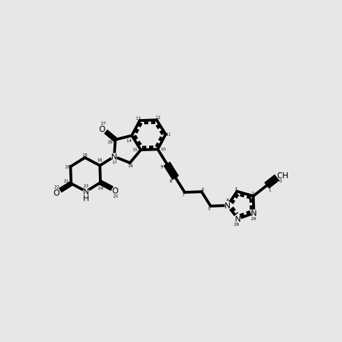 C#Cc1cn(CCCC#Cc2cccc3c2CN(C2CCC(=O)NC2=O)C3=O)nn1